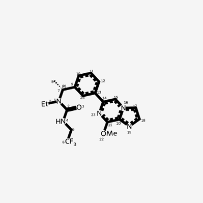 CCN(C(=O)NCC(F)(F)F)[C@H](C)c1cccc(-c2cn3ccnc3c(OC)n2)c1